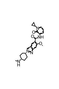 CN[C@H]1CC[C@H](n2cc3cc(C(=O)Nc4cccn(C5CC5)c4=O)c(OC)cc3n2)CC1